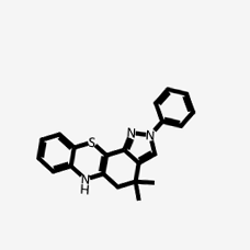 CC1(C)CC2=C(Sc3ccccc3N2)c2nn(-c3ccccc3)cc21